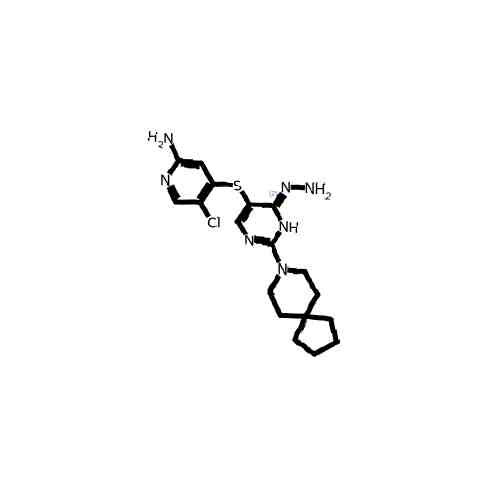 N/N=c1\[nH]c(N2CCC3(CCCC3)CC2)ncc1Sc1cc(N)ncc1Cl